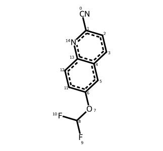 N#Cc1ccc2cc(OC(F)F)ccc2n1